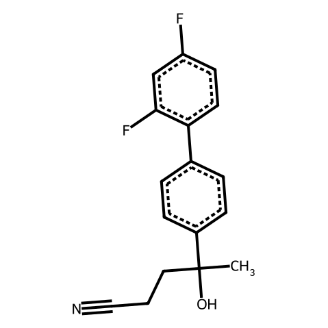 CC(O)(CCC#N)c1ccc(-c2ccc(F)cc2F)cc1